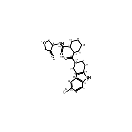 O=C1COCC1NC(=O)C1CCCCC1C(=O)N1CCc2[nH]c3ccc(Br)cc3c2C1